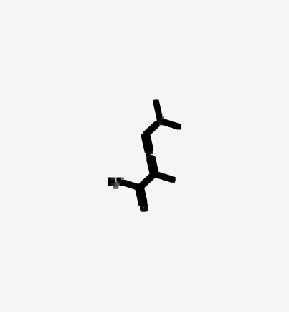 CC(=C=CN(C)C)C(N)=O